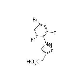 O=C(O)Cc1cnn(-c2c(F)cc(Br)cc2F)c1